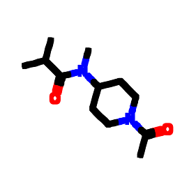 CC(=O)N1CCC(N(C)C(=O)C(C)C)CC1